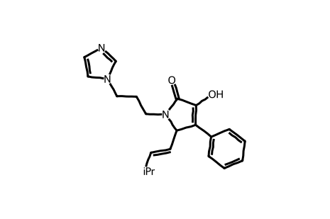 CC(C)C=CC1C(c2ccccc2)=C(O)C(=O)N1CCCn1ccnc1